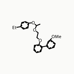 CCc1ccc(OC(C)OCCOc2ccccc2-c2cccc(OC)c2)cc1